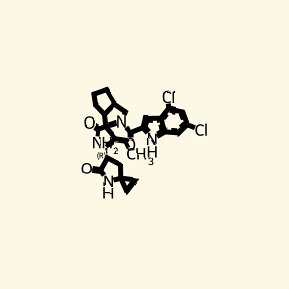 CCC(C[C@@H]1CC2(CC2)NC1=O)C1(C(N)=O)C2CCCC2CN1C(=O)c1cc2c(Cl)cc(Cl)cc2[nH]1